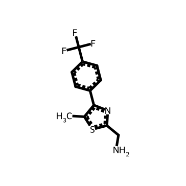 Cc1sc(CN)nc1-c1ccc(C(F)(F)F)cc1